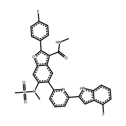 CNC(=O)c1c(-c2ccc(F)cc2)oc2cc(N(C)S(C)(=O)=O)c(-c3cccc(-c4cc5c(F)cccc5[nH]4)n3)cc12